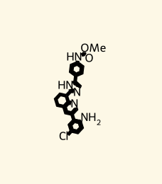 COC(=O)Nc1ccc(-c2cnc(C3CCCc4cc(-c5cc(Cl)ccc5N)cnc43)[nH]2)cc1